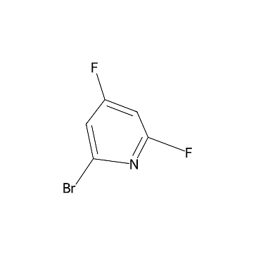 Fc1cc(F)nc(Br)c1